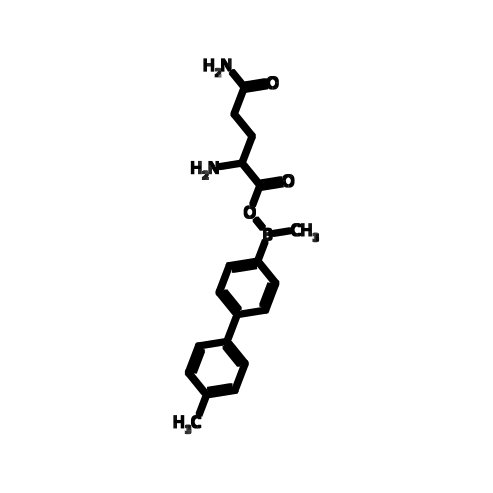 CB(OC(=O)C(N)CCC(N)=O)c1ccc(-c2ccc(C)cc2)cc1